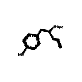 C=CCC(CCCCCCC)Cc1ccc(O)cc1